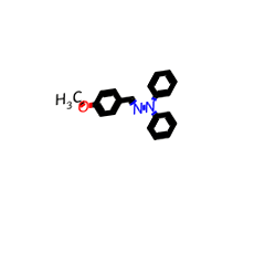 COc1ccc(C=NN(c2ccccc2)c2ccccc2)cc1